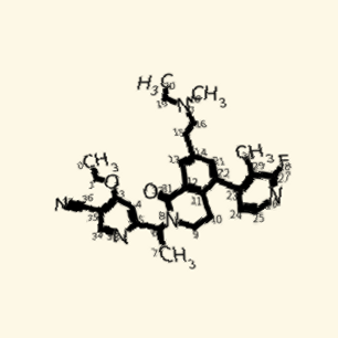 CCOc1cc(C(C)N2CCc3c(cc(CCN(C)CC)cc3-c3ccnc(F)c3C)C2=O)ncc1C#N